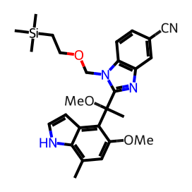 COc1cc(C)c2[nH]ccc2c1C(C)(OC)c1nc2cc(C#N)ccc2n1COCC[Si](C)(C)C